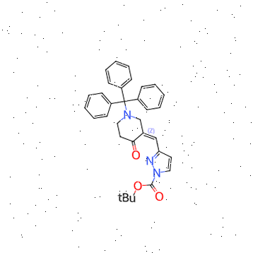 CC(C)(C)OC(=O)n1ccc(/C=C2/CN(C(c3ccccc3)(c3ccccc3)c3ccccc3)CCC2=O)n1